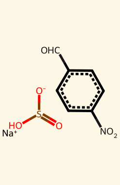 O=Cc1ccc([N+](=O)[O-])cc1.O=S([O-])O.[Na+]